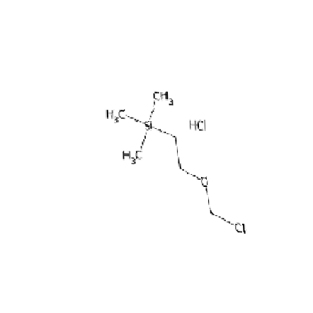 C[Si](C)(C)CCOCCl.Cl